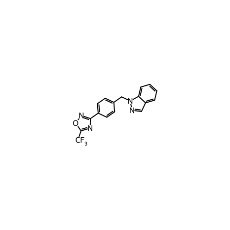 FC(F)(F)c1nc(-c2ccc(Cn3ncc4ccccc43)cc2)no1